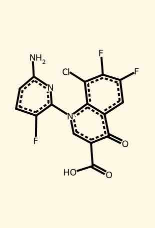 Nc1ccc(F)c(-n2cc(C(=O)O)c(=O)c3cc(F)c(F)c(Cl)c32)n1